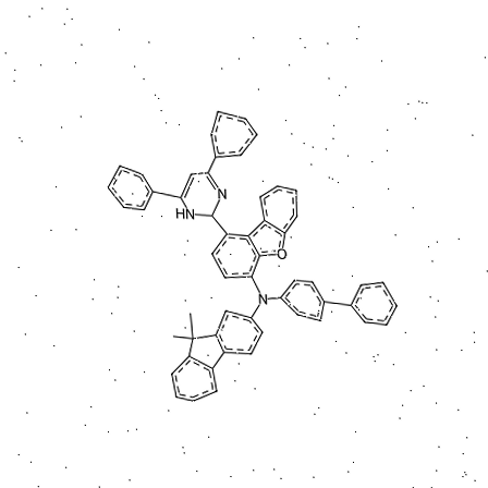 CC1(C)c2ccccc2-c2ccc(N(c3ccc(-c4ccccc4)cc3)c3ccc(C4N=C(c5ccccc5)C=C(c5ccccc5)N4)c4c3oc3ccccc34)cc21